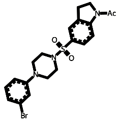 CC(=O)N1CCc2cc(S(=O)(=O)N3CCN(c4cccc(Br)c4)CC3)ccc21